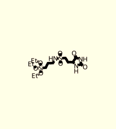 CCO[Si](CCCNS(=O)(=O)CCC1NC(=O)NC1=O)(OCC)OCC